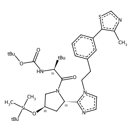 Cc1ncsc1-c1cccc(CCn2ccnc2[C@@H]2C[C@@H](O[Si](C)(C)C(C)(C)C)CN2C(=O)[C@@H](NC(=O)OC(C)(C)C)C(C)(C)C)c1